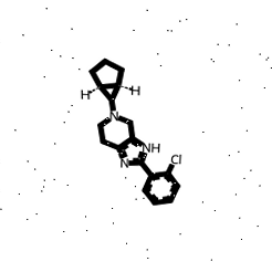 Clc1ccccc1-c1nc2c([nH]1)CN(C1[C@H]3CCC[C@@H]13)CC2